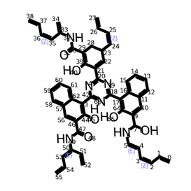 C=C/C=C\C=C\NC(O)c1cc2ccccc2c(-c2nc(C3=CC(/C=C\C=C)CC(C(=O)NC(=C)/C=C\C=C)=C3O)nc(-c3c(O)c(C(=O)N/C(C=C)=C/C=C)cc4ccccc34)n2)c1O